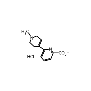 CN1CC=C(c2cccc(C(=O)O)n2)CC1.Cl